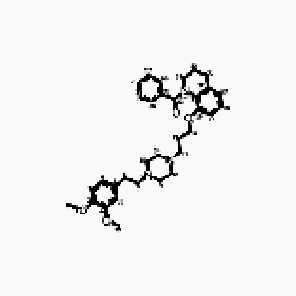 COc1ccc(CCN2CCN(CCCOc3cccc4c3N(C(=O)c3cccnc3)CCC4)CC2)cc1OC